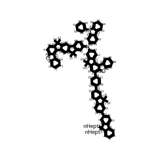 CCCCCCCC1(CCCCCCC)c2ccccc2-c2ccc(-c3ccc4c(c3)C(C)(C)c3cc(-c5ccc(-c6cc7c(c8c6oc6ccccc68)-c6ccc(N(c8ccc9c(c8)C(C)(C)c8cc%10c(cc8-9)C(C)(C)c8ccc9oc%11ccccc%11c9c8-%10)c8ccc9c%10ccccc%10n(-c%10ccccc%10)c9c8)cc6C7(C)C)cc5)ccc3-4)cc21